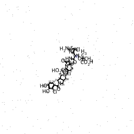 CC(C)(O/N=C(\C(=O)N[C@@H]1C(=O)N2C(C(=O)O)=C(C[N+]3(C)CC4CN(C(=O)c5ccc(O)c(O)c5Cl)CC4C3)CS[C@H]12)c1nc(N)sc1Cl)C(=O)O